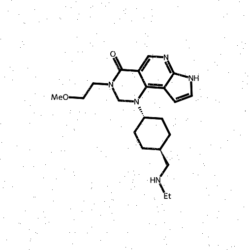 CCNC[C@H]1CC[C@H](N2CN(CCOC)C(=O)c3cnc4[nH]ccc4c32)CC1